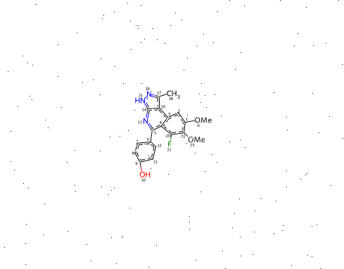 COc1cc2c(c(-c3ccc(O)cc3)nc3[nH]nc(C)c32)c(F)c1OC